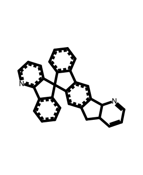 C1=CC2Cc3cc4c(cc3C2N=C1)-c1ccccc1C41c2ccccc2-c2ncccc21